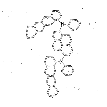 c1ccc(N(c2cccc3cc4cc5ccccc5cc4cc23)c2ccc3ccc4c(N(c5ccccc5)c5cccc6cc7cc8ccccc8cc7cc56)ccc5ccc2c3c54)cc1